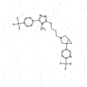 Cn1c(SCCCN2CC3CC3(c3ccc(C(F)(F)F)nc3)C2)nnc1-c1ccc(C(F)(F)F)cc1